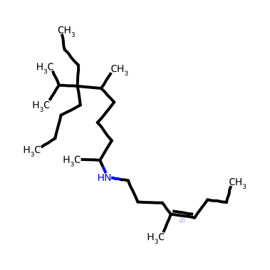 CCC/C=C(/C)CCCNC(C)CCCC(C)C(CCC)(CCCC)C(C)C